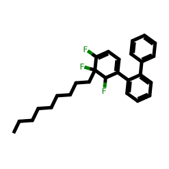 CCCCCCCCCC1(F)C(F)=CC=C(c2ccccc2-c2ccccc2)C1F